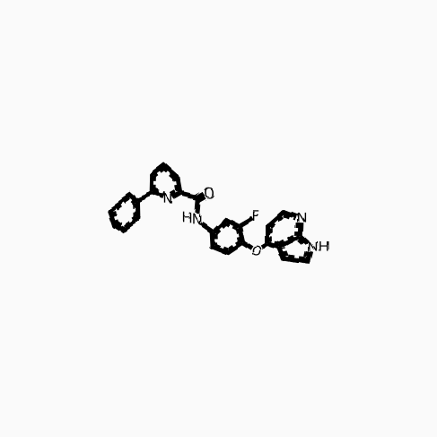 O=C(Nc1ccc(Oc2ccnc3[nH]ccc23)c(F)c1)c1cccc(-c2ccccc2)n1